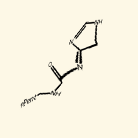 CCCCCNC(=O)N=C1CNC=N1